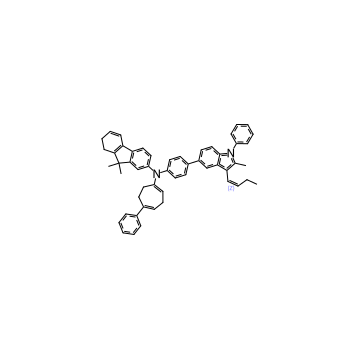 CC/C=C\c1c(C)n(-c2ccccc2)c2ccc(-c3ccc(N(C4=CCC=C(c5ccccc5)CC4)c4ccc5c(c4)C(C)(C)C4=C5C=CCC4)cc3)cc12